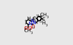 COC(=O)C1CCCc2nn(Cc3cc(C)c(C)cc3C)c(=O)n21